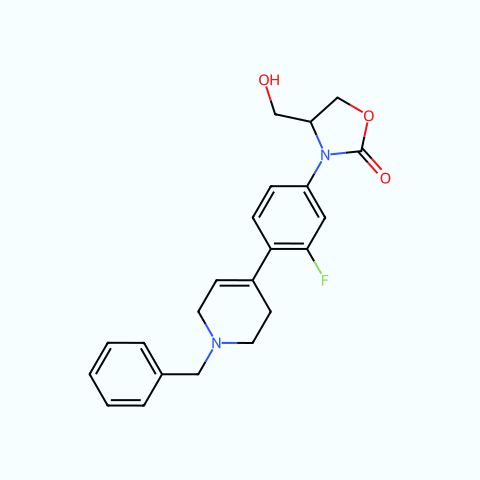 O=C1OCC(CO)N1c1ccc(C2=CCN(Cc3ccccc3)CC2)c(F)c1